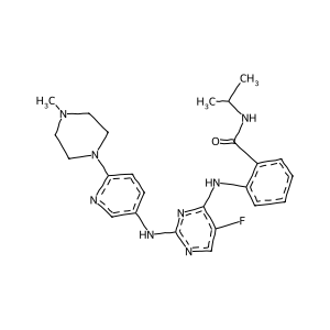 CC(C)NC(=O)c1ccccc1Nc1nc(Nc2ccc(N3CCN(C)CC3)nc2)ncc1F